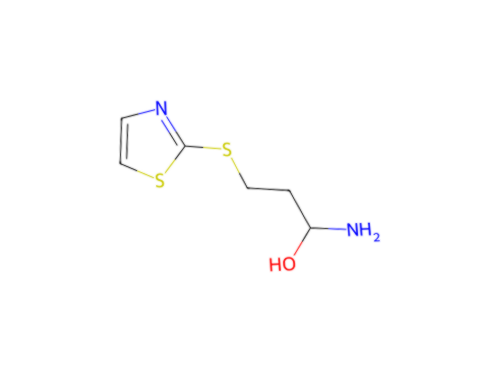 NC(O)CCSc1nccs1